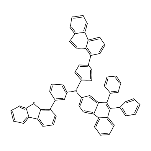 c1ccc(-c2c(-c3ccccc3)c3cc(N(c4ccc(-c5cccc6c5ccc5ccccc56)cc4)c4cccc(-c5cccc6c5sc5ccccc56)c4)ccc3c3ccccc23)cc1